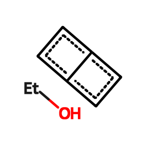 CCO.c1cc2ccc1-2